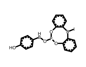 Oc1ccc(BOP2Oc3ccccc3B(I)c3ccccc3O2)cc1